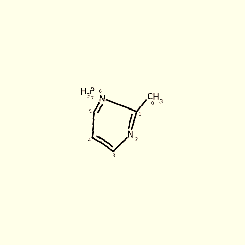 Cc1ncccn1.P